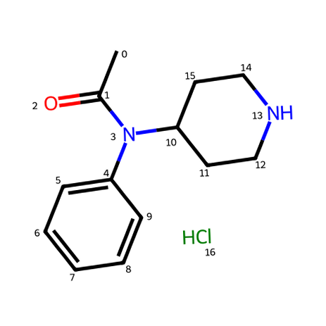 CC(=O)N(c1ccccc1)C1CCNCC1.Cl